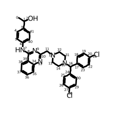 CC(O)c1ccc(Nc2nc(CN3CCN(C(c4ccc(Cl)cc4)c4ccc(Cl)cc4)CC3)nc3ccccc23)cc1